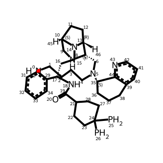 NCCCCN(C[C@@H]1NC[C@@H]2CC[C@H]1N2CC[C@H](NC(=O)C1CCC(P)(P)CC1)c1ccccc1)[C@H]1CCCc2cccnc21